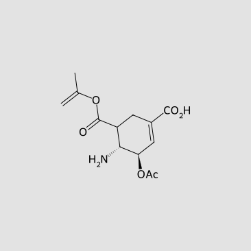 C=C(C)OC(=O)C1CC(C(=O)O)=C[C@@H](OC(C)=O)[C@@H]1N